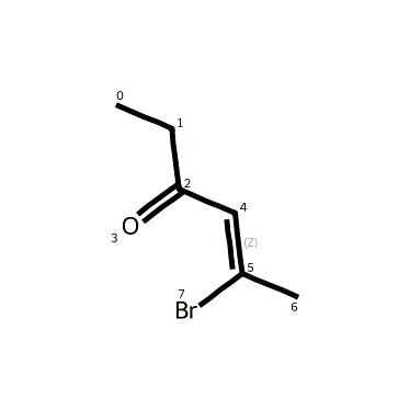 CCC(=O)/C=C(/C)Br